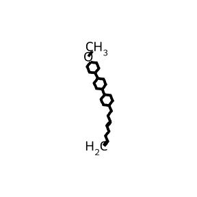 C=CCC/C=C/CCC1CCC(C2CCC(C3CCC(OCC)CC3)CC2)CC1